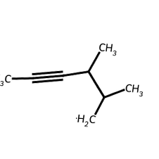 [CH2]C(C)C(C)C#CC